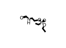 CCOP(=O)(CC)OCCNC=O